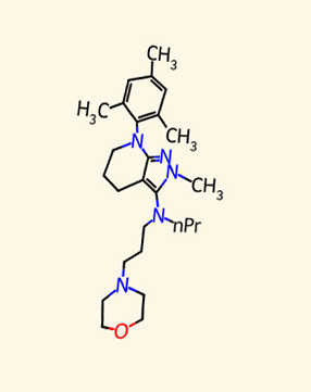 CCCN(CCCN1CCOCC1)c1c2c(nn1C)N(c1c(C)cc(C)cc1C)CCC2